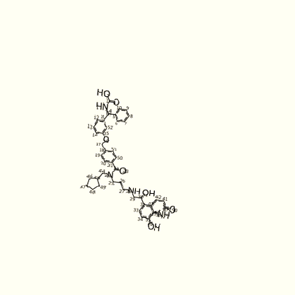 O=C(O)N[C@@H](c1ccccc1)c1cccc(OCc2ccc(C(=O)N(CCCNCC(O)c3ccc(O)c4[nH]c(=O)ccc34)CC3CCCC3)cc2)c1